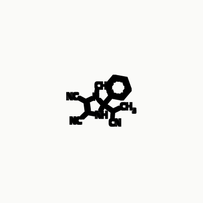 CC(C#N)C1(c2ccccc2)NC(C#N)=C(C#N)N1C